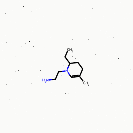 CCC1CCC(C)=CN1CCN